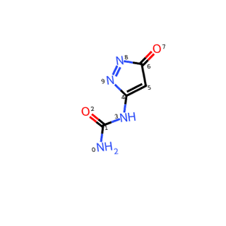 NC(=O)NC1=CC(=O)N=N1